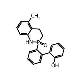 Cc1cccc2c1CCP(=O)(c1ccccc1-c1ccccc1O)N2